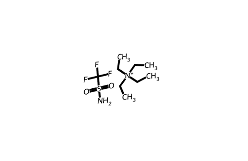 CC[N+](CC)(CC)CC.NS(=O)(=O)C(F)(F)F